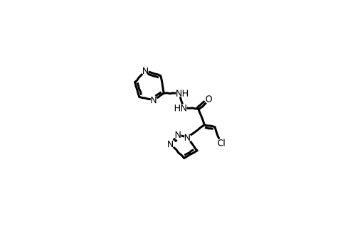 O=C(NNc1cnccn1)C(=CCl)n1ccnn1